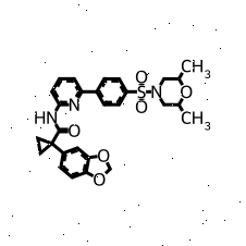 CC1CN(S(=O)(=O)c2ccc(-c3cccc(NC(=O)C4(c5ccc6c(c5)OCO6)CC4)n3)cc2)CC(C)O1